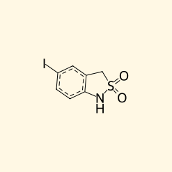 O=S1(=O)Cc2cc(I)ccc2N1